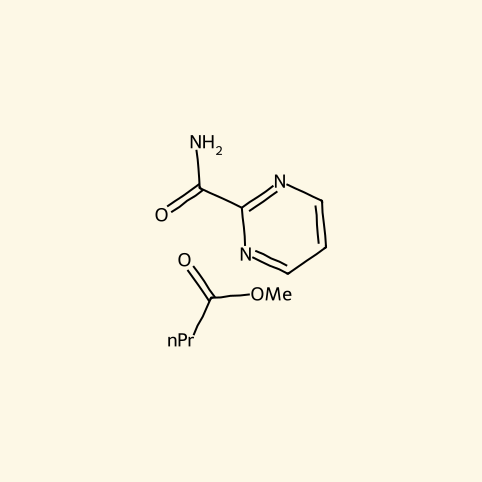 CCCC(=O)OC.NC(=O)c1ncccn1